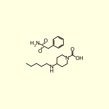 CCCCCNC1CCN(C(=O)O)CC1.NS(=O)(=O)Cc1ccccc1